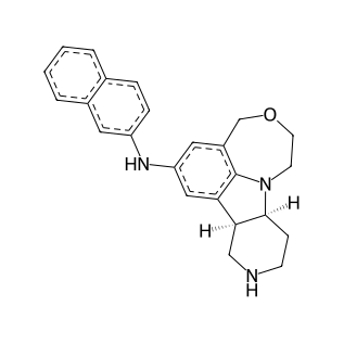 c1ccc2cc(Nc3cc4c5c(c3)[C@@H]3CNCC[C@@H]3N5CCOC4)ccc2c1